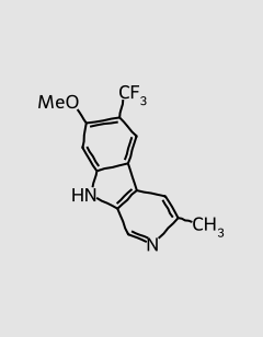 COc1cc2[nH]c3cnc(C)cc3c2cc1C(F)(F)F